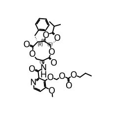 CCCOC(=O)OCOc1c(OC)ccnc1C(=O)N[C@H]1COC(=O)[C@H](Cc2ccccc2)[C@@H](OC(=O)C(C)C)[C@H](C)OC1=O